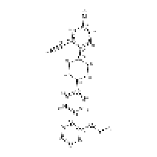 CCOc1ccccc1-c1ccc(C2CCN(c3ccc(Cl)cc3C#N)CC2)cn1